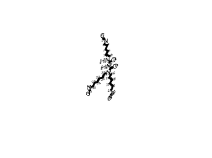 O=C=NCCCCCCNC(=O)NC(=O)N(CCCCCCN=C=O)CCCCCCN=C=O